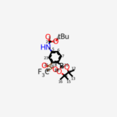 CC(C)(C)OC(=O)Nc1ccc(B2OC(C)(C)C(C)(C)O2)c(S(=O)(=O)C(F)(F)F)c1